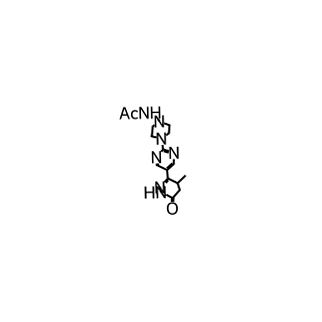 CC(=O)NN1CCN(c2ncc(C3=NNC(=O)CC3C)cn2)CC1